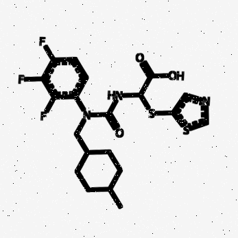 CC1CCC(CN(C(=O)NC(Sc2cncs2)C(=O)O)c2ccc(F)c(F)c2F)CC1